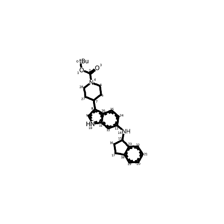 CC(C)(C)OC(=O)N1CCC(c2c[nH]c3cc(NC4CCc5ccccc54)ccc23)CC1